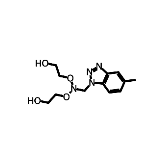 Cc1ccc2c(c1)nnn2CN(OCCO)OCCO